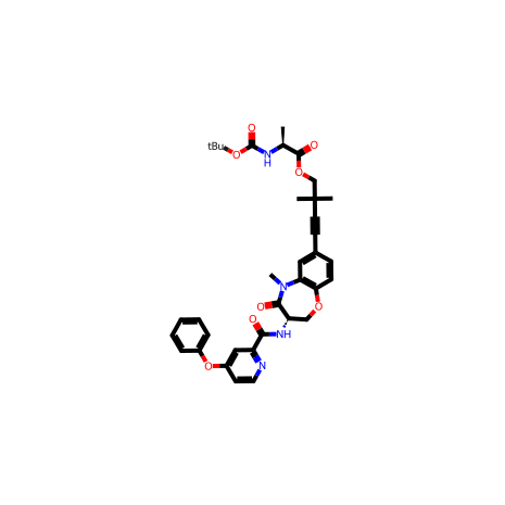 C[C@H](NC(=O)OC(C)(C)C)C(=O)OCC(C)(C)C#Cc1ccc2c(c1)N(C)C(=O)[C@@H](NC(=O)c1cc(Oc3ccccc3)ccn1)CO2